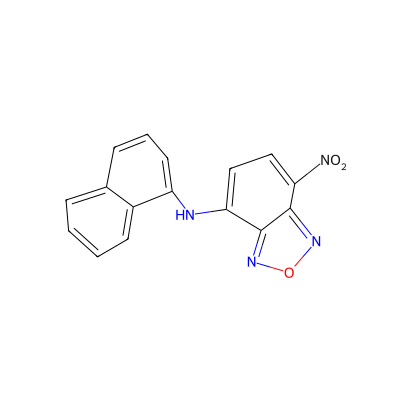 O=[N+]([O-])c1ccc(Nc2cccc3ccccc23)c2nonc12